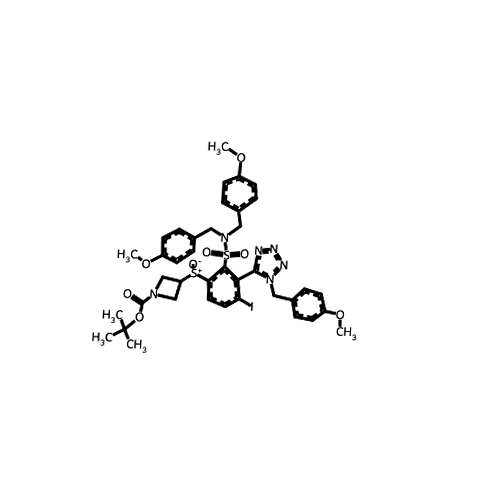 COc1ccc(CN(Cc2ccc(OC)cc2)S(=O)(=O)c2c([S+]([O-])C3CN(C(=O)OC(C)(C)C)C3)ccc(I)c2-c2nnnn2Cc2ccc(OC)cc2)cc1